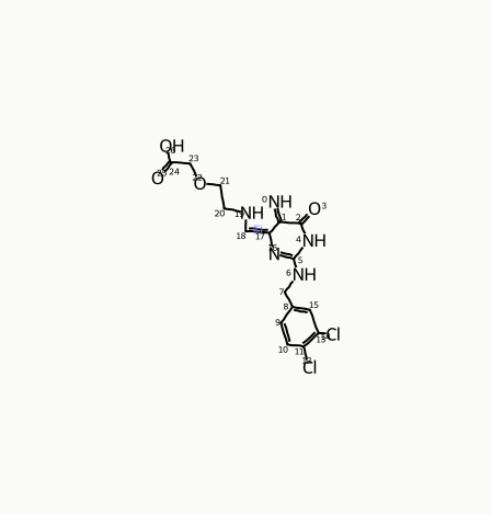 N=C1C(=O)NC(NCc2ccc(Cl)c(Cl)c2)=N/C1=C/NCCOCC(=O)O